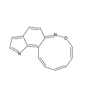 c1cccc2c(ccc3ccnc32)nocc1